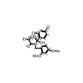 CCC(C(=O)O)C(=O)N(Cc1ccc(OC)cc1OC)C(C)(C)c1ccc(Cl)nc1Cl